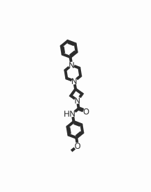 COc1ccc(NC(=O)N2CC(N3CCN(c4ccccc4)CC3)C2)cc1